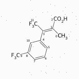 C/C(C(=O)O)=C(\c1cccc(C(F)(F)F)c1)C(F)(F)F